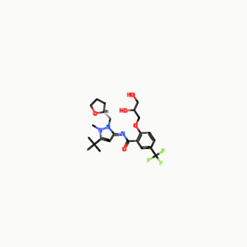 Cn1c(C(C)(C)C)cc(=NC(=O)c2cc(C(F)(F)F)ccc2OCC(O)CO)n1C[C@H]1CCCO1